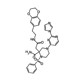 NC(=O)C1(CC(=O)NCCc2ccc3c(c2)OCCO3)CN(c2ccnc(-n3ccnc3)n2)CCN1S(=O)(=O)c1ccccc1